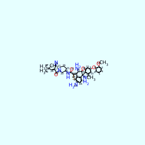 COc1ccccc1Oc1ccc(C2(N)C(=O)C(N)c3c(C(=O)NC4CCCN(C(=O)/C(C#N)=C/C(C)(C)C)C4)sc4c(N)ccc2c34)c(C)c1